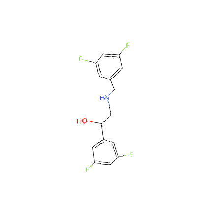 OC(CNCc1cc(F)cc(F)c1)c1cc(F)cc(F)c1